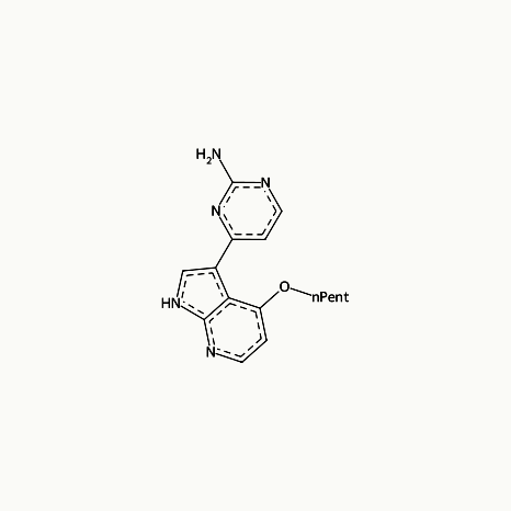 CCCCCOc1ccnc2[nH]cc(-c3ccnc(N)n3)c12